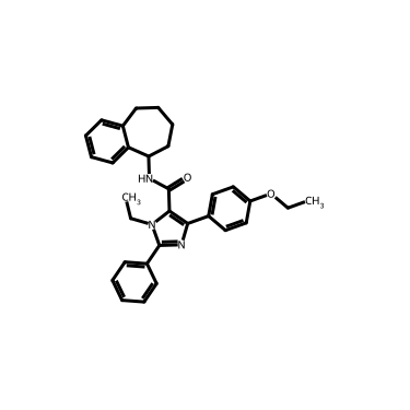 CCOc1ccc(-c2nc(-c3ccccc3)n(CC)c2C(=O)NC2CCCCc3ccccc32)cc1